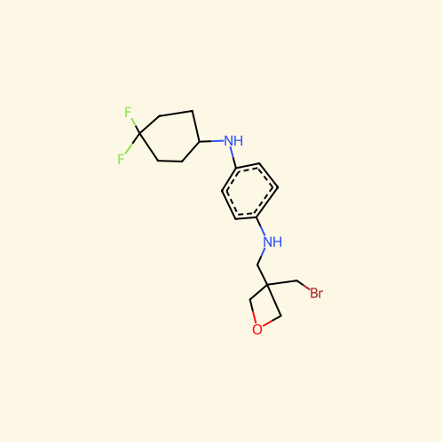 FC1(F)CCC(Nc2ccc(NCC3(CBr)COC3)cc2)CC1